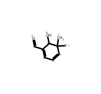 CC1(F)C=CC=C(C=O)C1O